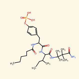 CCCCCC(=O)NC(Cc1ccc(OP(=O)(O)O)cc1)C(=O)NC(C(=O)NC(C)(C)C(C)(C)C(N)=O)C(C)CC